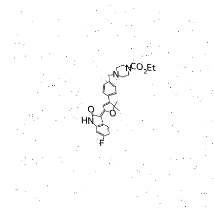 CCOC(=O)N1CCN(Cc2ccc(C3=C/C(=C4\C(=O)Nc5cc(F)ccc54)OC3(C)C)cc2)CC1